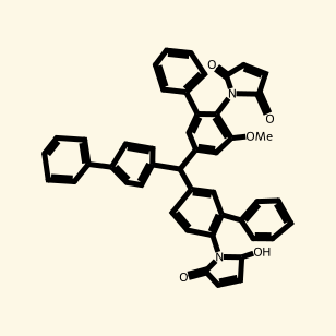 COc1cc(C(c2ccc(-c3ccccc3)cc2)c2ccc(N3C(=O)C=CC3O)c(-c3ccccc3)c2)cc(-c2ccccc2)c1N1C(=O)C=CC1=O